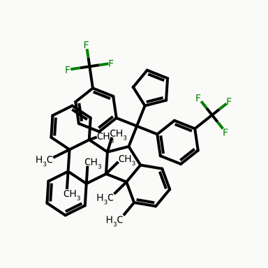 CC1=CC=CC2C(C(C3=CC=CC3)(c3cccc(C(F)(F)F)c3)c3cccc(C(F)(F)F)c3)C3(C)C4(C)C=CC=CC4(C)C4(C)C=CC=CC4(C)C3(C)C12C